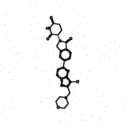 O=C1CC[C@H](N2Cc3cc(-c4ccn5nc(CN6CCOCC6)c(Cl)c5n4)ccc3C2=O)C(=O)N1